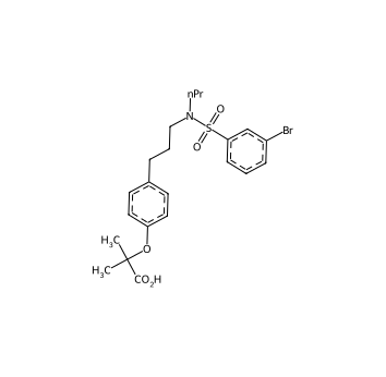 CCCN(CCCc1ccc(OC(C)(C)C(=O)O)cc1)S(=O)(=O)c1cccc(Br)c1